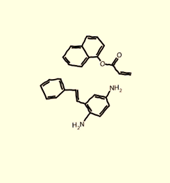 C=CC(=O)Oc1cccc2ccccc12.Nc1ccc(N)c(C=Cc2ccccc2)c1